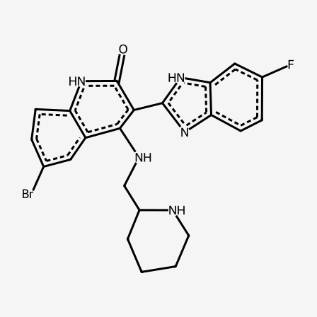 O=c1[nH]c2ccc(Br)cc2c(NCC2CCCCN2)c1-c1nc2ccc(F)cc2[nH]1